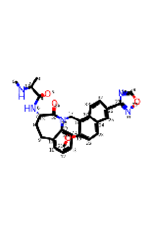 CNC(C)C(=O)N[C@H]1CCc2ccccc2N(Cc2c(OC)ccc3cc(-c4ncon4)ccc23)C1=O